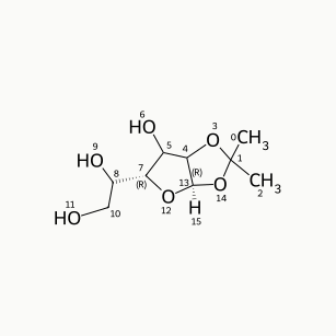 CC1(C)OC2C(O)[C@@H](C(O)CO)O[C@@H]2O1